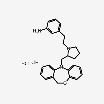 Cl.Cl.Nc1cccc(CCN2CCCC2CN2c3ccccc3COc3ccccc32)c1